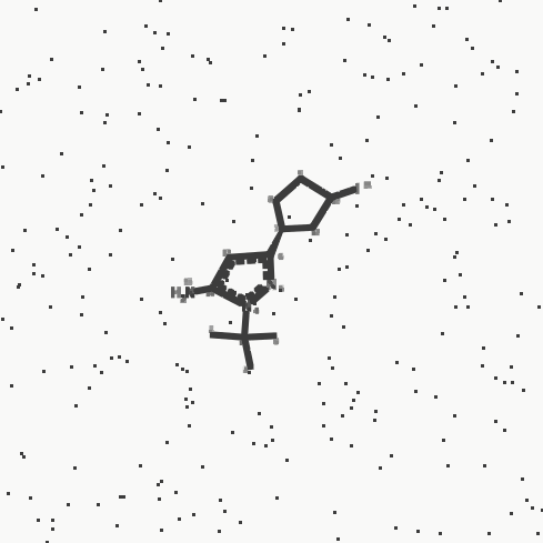 CC(C)(C)n1nc([C@H]2CCC(I)C2)cc1N